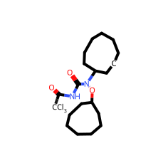 O=C(NC(=O)C(Cl)(Cl)Cl)N(OC1CCCCCCC1)C1CCCCCCCC1